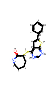 O=C1NCCCCC1Sc1ncnc2sc(-c3ccccc3)cc12